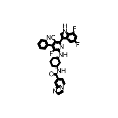 N#Cc1c(-c2c[nH]c3c(F)cc(F)cc23)nc(N[C@@H]2CCC[C@H](NC(=O)c3ccn4ccnc4c3)C2)c(F)c1-c1ccccc1